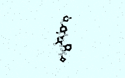 COc1cc(O[C@@H]2CCN(C)C2)ccc1Nc1ncc(Cl)c(Nc2ccccc2S(=O)(=O)NC2CCC2)n1